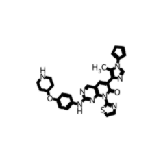 Cc1c(-c2cc3cnc(Nc4ccc(OC5CCNCC5)cc4)nc3n(-c3nccs3)c2=O)ncn1C1=CCC=C1